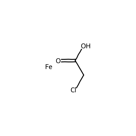 O=C(O)CCl.[Fe]